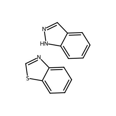 c1ccc2[nH]ncc2c1.c1ccc2scnc2c1